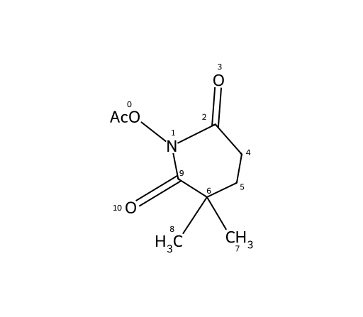 CC(=O)ON1C(=O)CCC(C)(C)C1=O